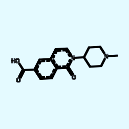 CN1CCC(n2ccc3cc(C(=O)O)ccc3c2=O)CC1